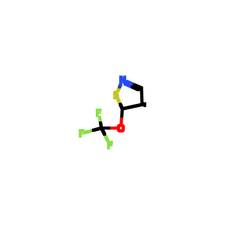 FC(F)(F)OC1[C]C=NS1